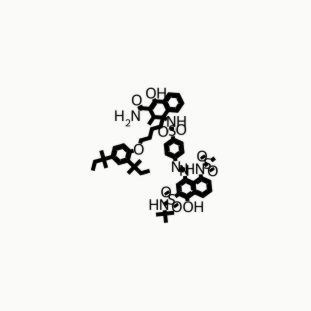 CCC(C)(C)c1ccc(OCCCCC2(NS(=O)(=O)c3ccc(N=Nc4cc(S(=O)(=O)NC(C)(C)C)c(O)c5cccc(NS(C)(=O)=O)c45)cc3)c3ccccc3C(O)=C(C(N)=O)C2C)c(C(C)(C)CC)c1